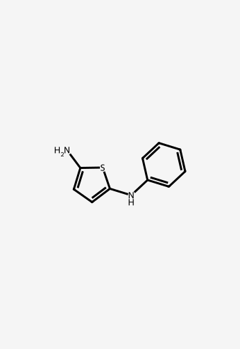 Nc1ccc(Nc2ccccc2)s1